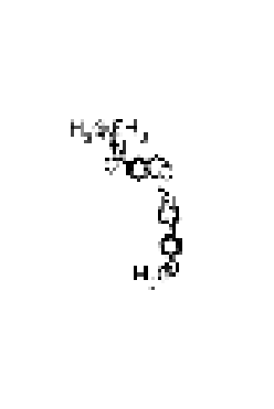 COc1ccc(N2CCN(CC[C@@H]3OCCc4cc(C(=O)/N=C/N(C)C)ccc43)CC2)cc1